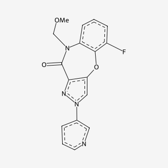 COCN1C(=O)c2nn(-c3cccnc3)cc2Oc2c(F)cccc21